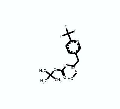 CC(C)(C)OC(=O)N[C@@H](CO)Cc1ccc(C(F)(F)F)nc1